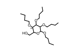 CCCCOC1OC(CO)[C@@H](OCCCC)C(OCCCC)C1OCCCC